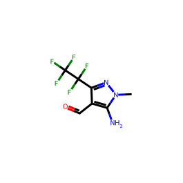 Cn1nc(C(F)(F)C(F)(F)F)c(C=O)c1N